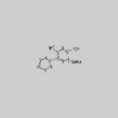 COc1cc(-c2ccccn2)c(Br)cc1C(C)(C)C